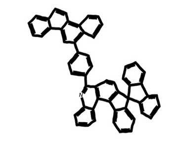 c1ccc2c(c1)-c1ccccc1C21c2ccccc2-c2c1ccc1c(-c3ccc(-c4cc5c6ccccc6ccc5c5ccccc45)cc3)nc3ccccc3c21